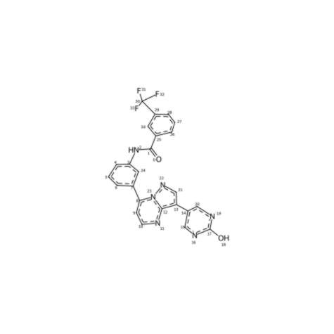 O=C(Nc1cccc(-c2ccnc3c(-c4cnc(O)nc4)cnn23)c1)c1cccc(C(F)(F)F)c1